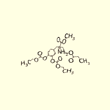 CCOC(=O)Oc1ccc(C[C@](N)(CCOC(=O)CC)C(=O)OC)cc1OC(=O)OCC